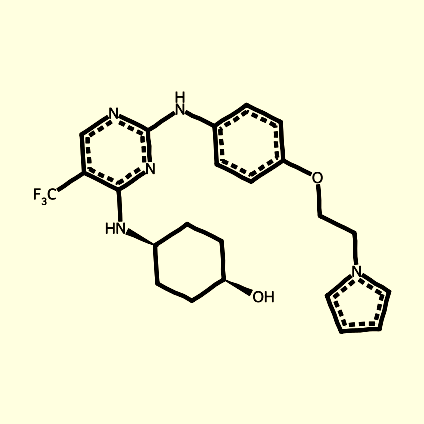 O[C@H]1CC[C@@H](Nc2nc(Nc3ccc(OCCn4cccc4)cc3)ncc2C(F)(F)F)CC1